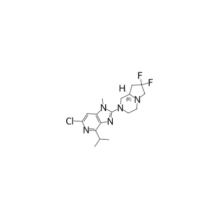 CC(C)c1nc(Cl)cc2c1nc(N1CCN3CC(F)(F)C[C@@H]3C1)n2C